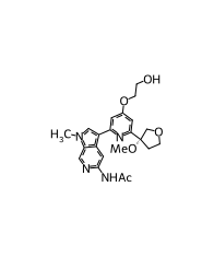 CO[C@@]1(c2cc(OCCO)cc(-c3cn(C)c4cnc(NC(C)=O)cc34)n2)CCOC1